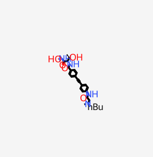 CCCCN(C)CC(=O)Nc1ccc(C#Cc2ccc(C(=O)N[C@H](C(=O)NO)[C@@H](C)O)cc2)cc1